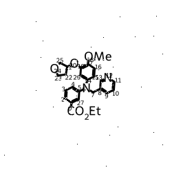 CCOC(=O)c1cccc(N(Cc2cccnc2)c2ccc(OC)c(OC3CCOC3)c2)c1